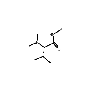 CC(C)[C@@H](C(=O)NI)N(C)C